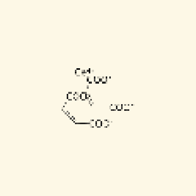 O=C([O-])/C=C\C(=O)[O-].O=C([O-])/C=C\C(=O)[O-].[Ce+4]